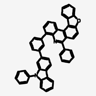 c1ccc(-c2nc3c(-c4cccc(-c5ccc6c7ccccc7n(-c7ccccc7)c6c5)c4)cccc3c3c2ccc2oc4ccccc4c23)cc1